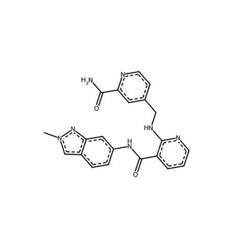 Cn1cc2ccc(NC(=O)c3cccnc3NCc3ccnc(C(N)=O)c3)cc2n1